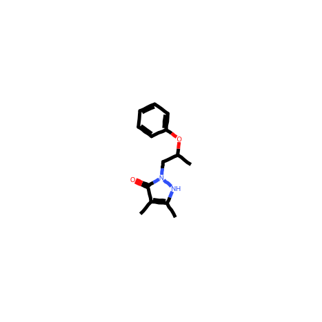 Cc1[nH]n(CC(C)Oc2ccccc2)c(=O)c1C